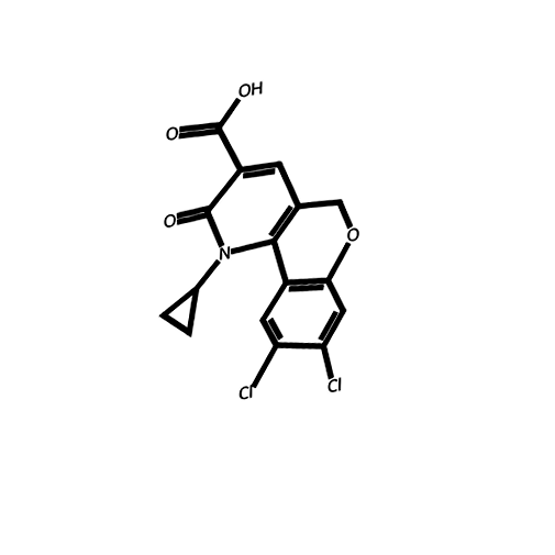 O=C(O)c1cc2c(n(C3CC3)c1=O)-c1cc(Cl)c(Cl)cc1OC2